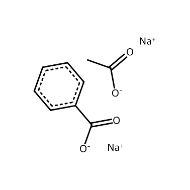 CC(=O)[O-].O=C([O-])c1ccccc1.[Na+].[Na+]